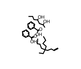 C=CCCC(CC)(CCCC)CCCC.CCCC(O)CC(C)O.O=C(O)c1ccccc1.O=C(O)c1ccccc1